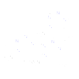 O=C([O-])c1nnnn1[N+](=O)[O-].O=C([O-])c1nnnn1[N+](=O)[O-].O=C([O-])c1nnnn1[N+](=O)[O-].[Co+3]